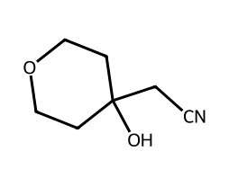 N#CCC1(O)CCOCC1